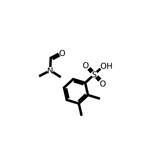 CN(C)C=O.Cc1cccc(S(=O)(=O)O)c1C